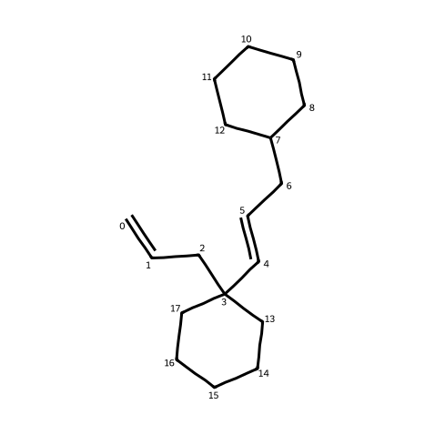 C=CCC1(C=CCC2CCCCC2)CCCCC1